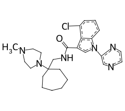 CN1CCN(C2(CNC(=O)c3cn(-c4cnccn4)c4cccc(Cl)c34)CCCCCC2)CC1